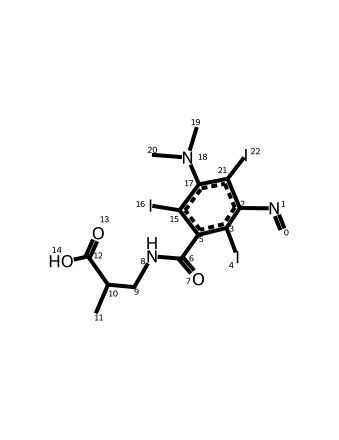 C=Nc1c(I)c(C(=O)NCC(C)C(=O)O)c(I)c(N(C)C)c1I